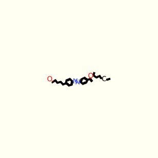 C=C(OC(C)CCCCCC)c1ccc(N=Nc2ccc(CCCCC=O)cc2)cc1